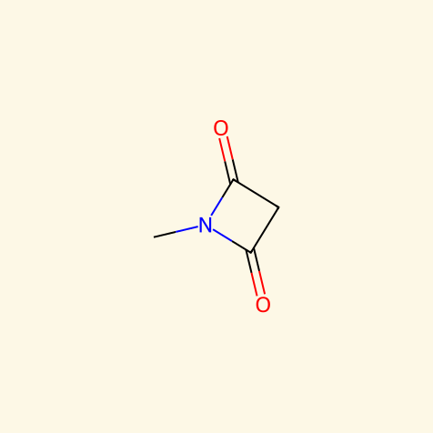 CN1C(=O)CC1=O